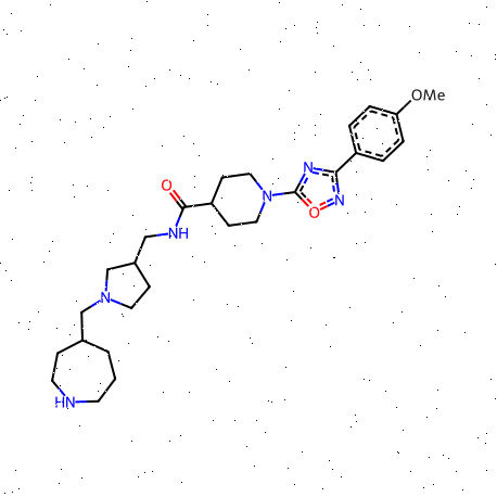 COc1ccc(-c2noc(N3CCC(C(=O)NCC4CCN(CC5CCCNCC5)C4)CC3)n2)cc1